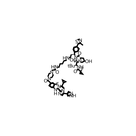 Cc1ncsc1-c1ccc([C@H](CC(=O)NCCCCCNC(=O)CN2CCN(C(=O)c3ccc(Nc4nc(C5CC5)cn5c(-c6cn[nH]c6)cnc45)c(F)c3)CC2)NC(=O)[C@@H]2C[C@@H](O)CN2C(=O)[C@@H](NC(=O)C2(F)CC2)C(C)(C)C)cc1